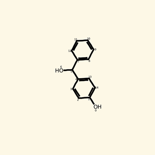 Oc1ccc(C(O)c2ccccc2)cc1